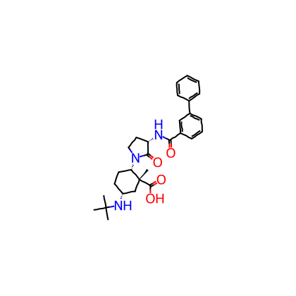 CC(C)(C)N[C@@H]1CC[C@H](N2CC[C@H](NC(=O)c3cccc(-c4ccccc4)c3)C2=O)[C@](C)(C(=O)O)C1